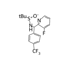 CC(C)(C)[S+]([O-])NC(c1ccc(C(F)(F)F)cc1)c1ncccc1F